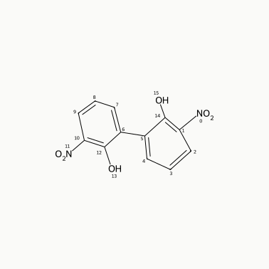 O=[N+]([O-])c1cccc(-c2cccc([N+](=O)[O-])c2O)c1O